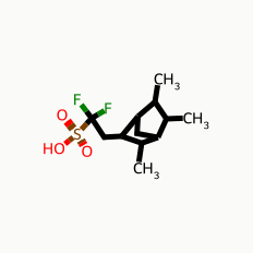 CC1C(C)C2CC1C(C)C2CC(F)(F)S(=O)(=O)O